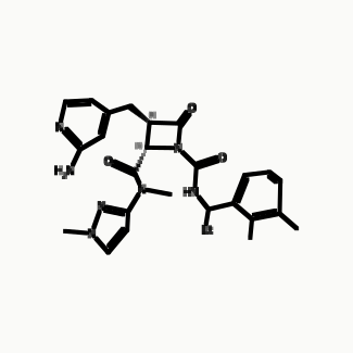 CCC(NC(=O)N1C(=O)[C@H](Cc2ccnc(N)c2)[C@H]1C(=O)N(C)c1ccn(C)n1)c1cccc(C)c1C